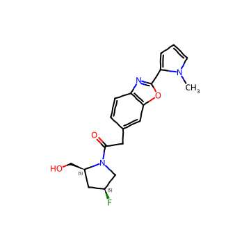 Cn1cccc1-c1nc2ccc(CC(=O)N3C[C@@H](F)C[C@H]3CO)cc2o1